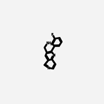 NCc1cc2cnccc2nc1-c1cccc(F)c1